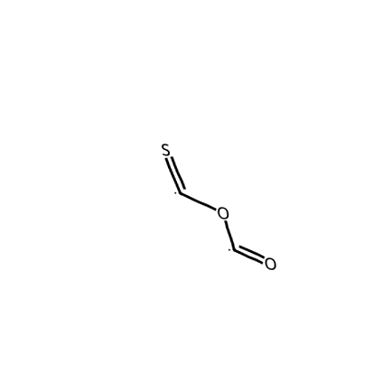 O=[C]O[C]=S